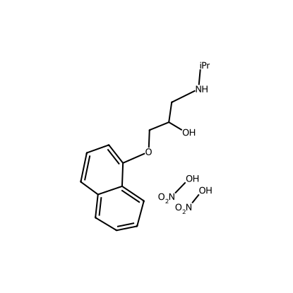 CC(C)NCC(O)COc1cccc2ccccc12.O=[N+]([O-])O.O=[N+]([O-])O